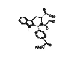 COC(=O)c1ccc([C@@H]2c3c(c4ccccc4n3C)C[C@H](C(=O)OC)N2C(=O)CCl)cc1